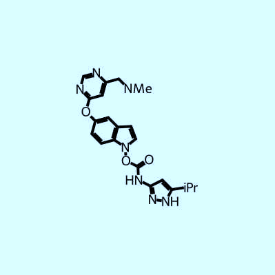 CNCc1cc(Oc2ccc3c(ccn3OC(=O)Nc3cc(C(C)C)[nH]n3)c2)ncn1